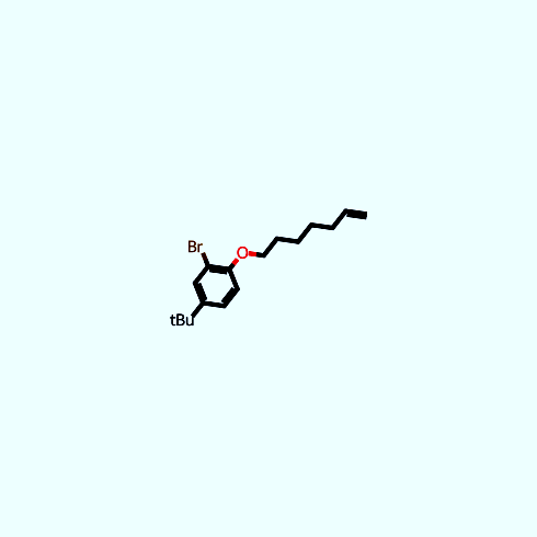 C=CCCCCCOc1ccc(C(C)(C)C)cc1Br